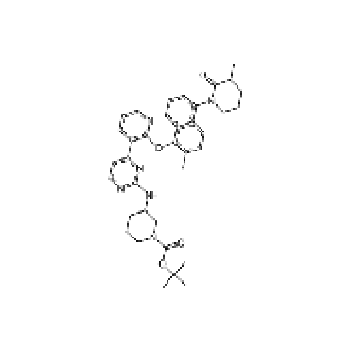 Cc1ccc2c(N3CCCC(C)C3=O)cccc2c1Oc1ncccc1-c1ccnc(NC2CCCN(C(=O)OC(C)(C)C)C2)n1